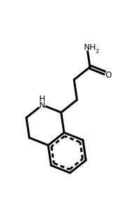 NC(=O)CCC1NCCc2ccccc21